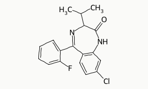 CC(C)C1N=C(c2ccccc2F)c2ccc(Cl)cc2NC1=O